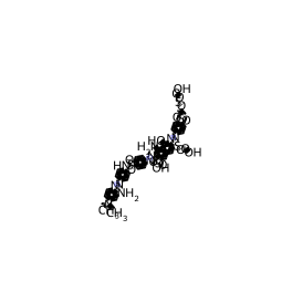 CCN(CC)c1ccc(/N=N/c2ccc(NS(=O)(=O)c3ccc(/N=N/c4c(S(=O)(=O)O)cc5cc(SOOO)c(/N=N/c6ccc(S(=O)(=O)CCOSOOO)cc6)c(O)c5c4N)cc3)cc2)c(N)c1